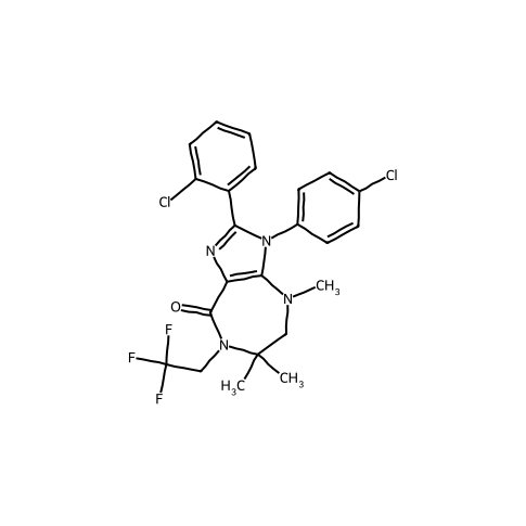 CN1CC(C)(C)N(CC(F)(F)F)C(=O)c2nc(-c3ccccc3Cl)n(-c3ccc(Cl)cc3)c21